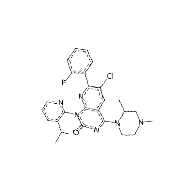 CC(C)c1cccnc1-n1c(=O)nc(N2CCN(C)CC2C)c2cc(Cl)c(-c3ccccc3F)nc21